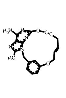 Nc1nc2nc3c1nc(O)n3Cc1cccc(c1)OC/C=C/CCCO2